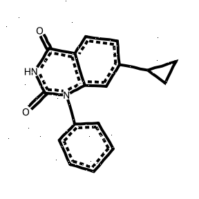 O=c1[nH]c(=O)n(-c2ccccc2)c2cc(C3CC3)ccc12